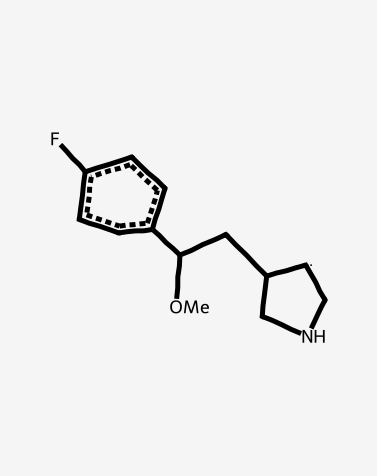 COC(CC1[CH]CNC1)c1ccc(F)cc1